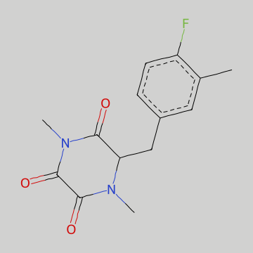 Cc1cc(CC2C(=O)N(C)C(=O)C(=O)N2C)ccc1F